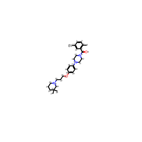 CCc1ccc(C)c(C(=O)N2CCN(c3ccc(OCCCN4CCCC(C)(C)C4)cc3)CC2)c1